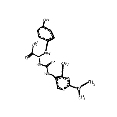 CN(C)c1ncc(NC(=O)N[C@H](Nc2ccc(O)cc2)C(=O)O)c(O)n1